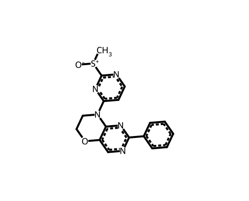 C[S+]([O-])c1nccc(N2CCOc3cnc(-c4ccccc4)nc32)n1